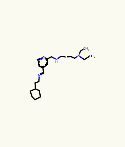 CCN(CC)CCCCNCc1cc(C=NCCC2CCCCC2)ccn1